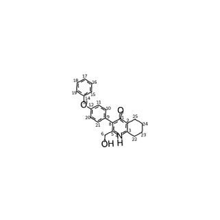 O=c1c2c([nH]c(CO)c1-c1ccc(Oc3ccccc3)cc1)CCCC2